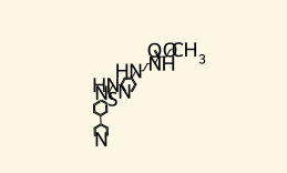 COCC(=O)NCCNc1ccnc(Nc2nc3ccc(-c4ccncc4)cc3s2)c1